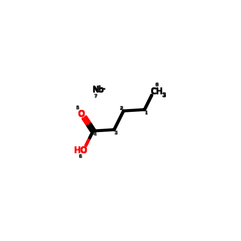 CCCCC(=O)O.[Nb]